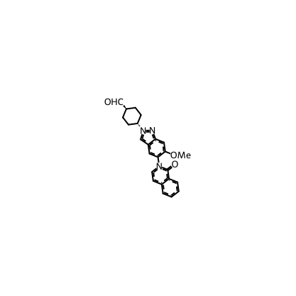 COc1cc2nn([C@H]3CC[C@H](C=O)CC3)cc2cc1-n1ccc2ccccc2c1=O